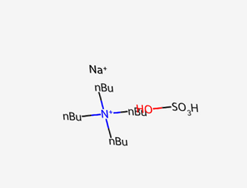 CCCC[N+](CCCC)(CCCC)CCCC.O=S(=O)(O)O.[Na+]